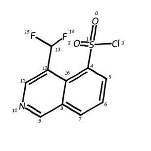 O=S(=O)(Cl)c1cccc2cncc(C(F)F)c12